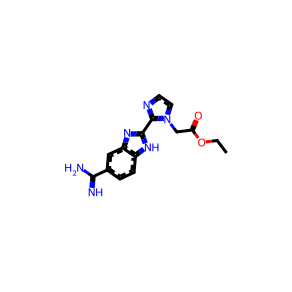 CCOC(=O)Cn1ccnc1-c1nc2cc(C(=N)N)ccc2[nH]1